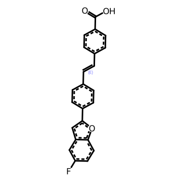 O=C(O)c1ccc(/C=C/c2ccc(-c3cc4cc(F)ccc4o3)cc2)cc1